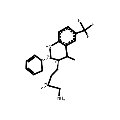 CC1c2cc(C(F)(F)F)ccc2N[C@@H](C2C=CC=CC2)[C@@H]1CC[C@@H](C)CN